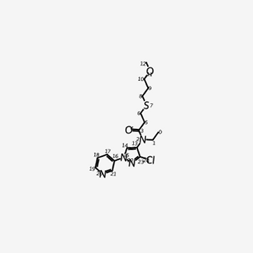 CCN(C(=O)CCSCCCOC)c1cn(-c2cccnc2)nc1Cl